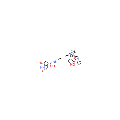 C[N+](C)(CCCCCCCCCNCC(O)c1ccc(O)c2[nH]c(=O)ccc12)Cc1cnc(C(O)(c2ccccc2)c2ccccc2)o1